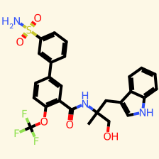 CC(CO)(Cc1c[nH]c2ccccc12)NC(=O)c1cc(-c2cccc(S(N)(=O)=O)c2)ccc1OC(F)(F)F